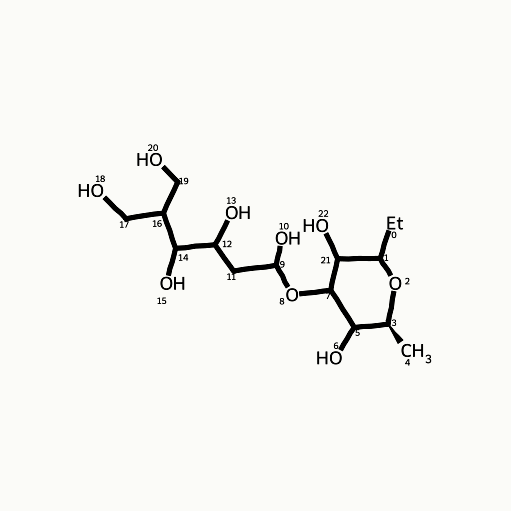 CCC1O[C@@H](C)C(O)C(OC(O)CC(O)C(O)C(CO)CO)C1O